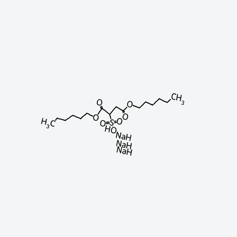 CCCCCCOC(=O)CC(C(=O)OCCCCCC)S(=O)(=O)O.[NaH].[NaH].[NaH]